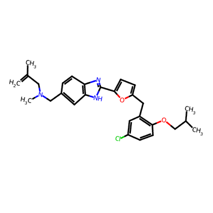 C=C(C)CN(C)Cc1ccc2nc(-c3ccc(Cc4cc(Cl)ccc4OCC(C)C)o3)[nH]c2c1